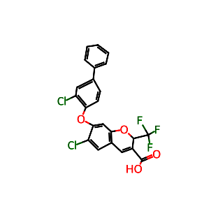 O=C(O)C1=Cc2cc(Cl)c(Oc3ccc(-c4ccccc4)cc3Cl)cc2OC1C(F)(F)F